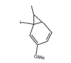 COC1=CC2(I)C(C)C2C=C1